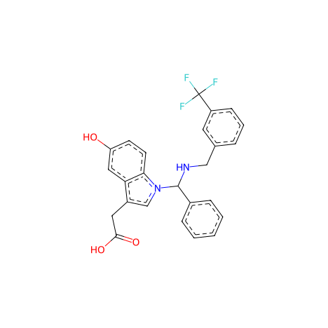 O=C(O)Cc1cn(C(NCc2cccc(C(F)(F)F)c2)c2ccccc2)c2ccc(O)cc12